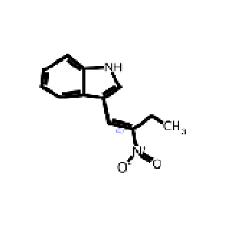 CC/C(=C\c1c[nH]c2ccccc12)[N+](=O)[O-]